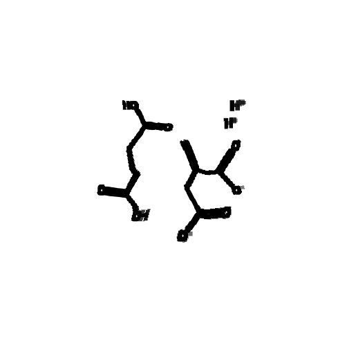 C=C(CC(=O)[O-])C(=O)[O-].O=C(O)CCC(=O)O.[H+].[H+]